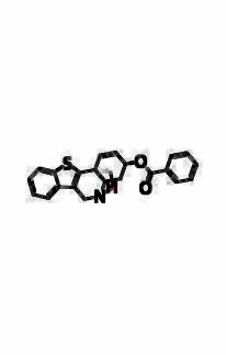 O=C(O[C@@H]1C=C[C@]23CCN(Cc4c2sc2ccccc42)[C@H]3C1)c1ccccc1